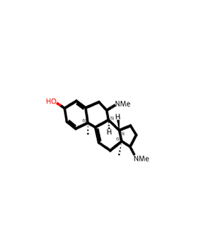 CNC1CC2=CC(O)C=C[C@]2(C)C2=CC[C@]3(C)C(NC)CC[C@H]3[C@@H]21